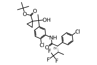 CC([C@H](C(=O)Nc1cc(C(C)(O)C2(C(=O)OC(C)(C)C)CC2)ccc1Cl)c1ccc(Cl)cc1)C(F)(F)F